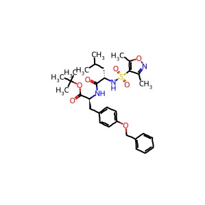 Cc1noc(C)c1S(=O)(=O)N[C@@H](CC(C)C)C(=O)N[C@@H](Cc1ccc(OCc2ccccc2)cc1)C(=O)OC(C)(C)C